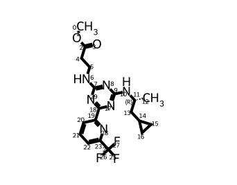 COC(=O)CCNc1nc(N[C@H](C)CC2CC2)nc(-c2cccc(C(F)(F)F)n2)n1